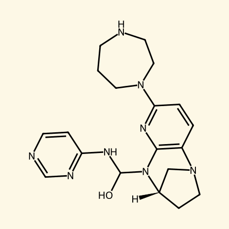 OC(Nc1ccncn1)N1c2nc(N3CCCNCC3)ccc2N2CC[C@H]1C2